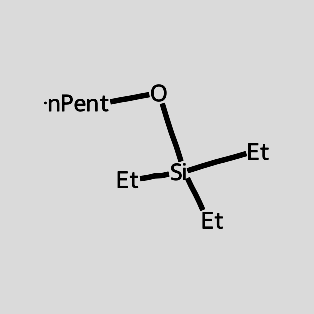 CCCC[CH]O[Si](CC)(CC)CC